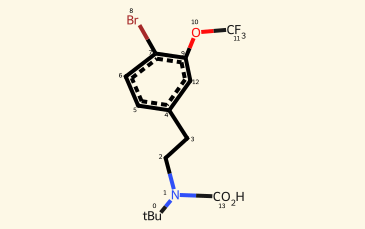 CC(C)(C)N(CCc1ccc(Br)c(OC(F)(F)F)c1)C(=O)O